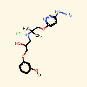 CCOc1cccc(OCC(O)CNC(C)(C)COc2ccc(NN)nn2)c1.Cl